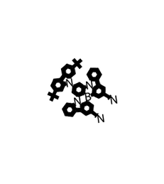 CC(C)(C)c1ccc2c3ccc(C(C)(C)C)cc3n(-c3cc4c5c(c3)-n3c6ccccc6c6cc(C#N)cc(c63)B5c3cc(C#N)cc5c6ccccc6n-4c35)c2c1